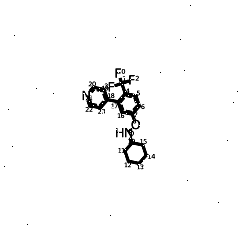 FC(F)(F)c1ccc(ONC2CCCCC2)cc1-c1ccncc1